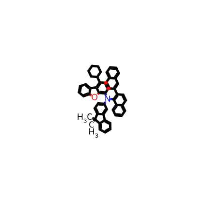 CC1(C)c2ccccc2-c2cc(N(c3c(-c4ccc5ccccc5c4)ccc4ccccc34)c3ccc(C4CCCCC4)c4c3oc3ccccc34)ccc21